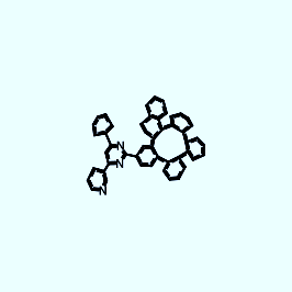 c1ccc(-c2cc(-c3cccnc3)nc(-c3ccc4c5ccccc5c5ccccc5c5ccccc5c5c6ccccc6ccc5c4c3)n2)cc1